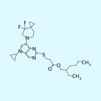 CCCCC(CC)COC(=O)CCSc1ncc2c(n1)c(N1CCC3(CC3)C(F)(F)C1)cn2C1CC1